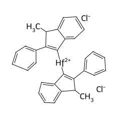 CC1C(c2ccccc2)=[C]([Hf+2][C]2=C(c3ccccc3)C(C)c3ccccc32)c2ccccc21.[Cl-].[Cl-]